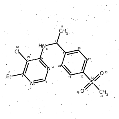 CCc1ncnc(NC(C)c2ccc(S(C)(=O)=O)cc2)c1Cl